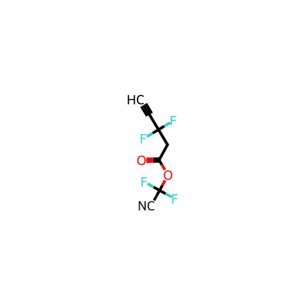 C#CC(F)(F)CC(=O)OC(F)(F)C#N